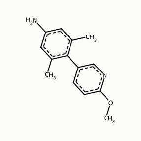 COc1ccc(-c2c(C)cc(N)cc2C)cn1